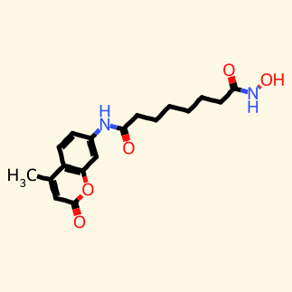 Cc1cc(=O)oc2cc(NC(=O)CCCCCCC(=O)NO)ccc12